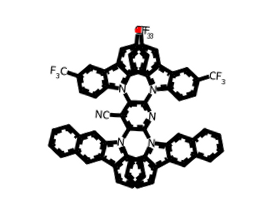 N#Cc1c(-n2c3ccc(C(F)(F)F)cc3c3cc(C(F)(F)F)ccc32)c(-n2c3ccc(C(F)(F)F)cc3c3cc(C(F)(F)F)ccc32)nc(-n2c3ccccc3c3cc4ccccc4cc32)c1-n1c2ccccc2c2cc3ccccc3cc21